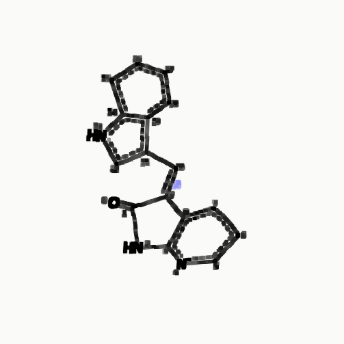 O=C1Nc2ncccc2/C1=C/c1c[nH]c2ccccc12